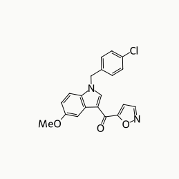 COc1ccc2c(c1)c(C(=O)c1ccno1)cn2Cc1ccc(Cl)cc1